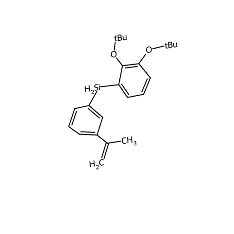 C=C(C)c1cccc([SiH2]c2cccc(OC(C)(C)C)c2OC(C)(C)C)c1